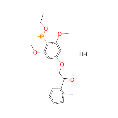 CCOPc1c(OC)cc(OCC(=O)c2ccccc2C)cc1OC.[LiH]